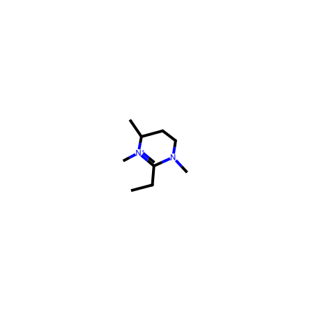 CCC1=[N+](C)C(C)CCN1C